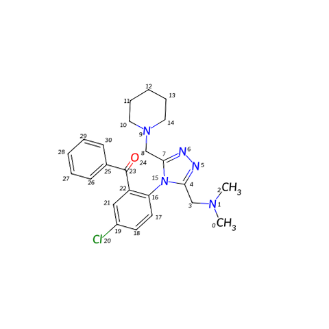 CN(C)Cc1nnc(CN2CCCCC2)n1-c1ccc(Cl)cc1C(=O)c1ccccc1